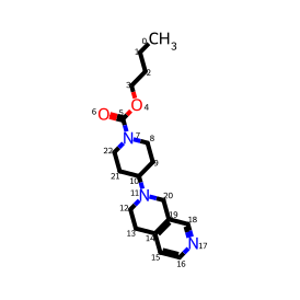 CCCCOC(=O)N1CCC(N2CCc3ccncc3C2)CC1